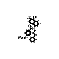 CCCC(C)c1ccc(C(=O)N(CCCc2ccccc2)c2cccc3c(O)c(Cl)ccc23)cc1